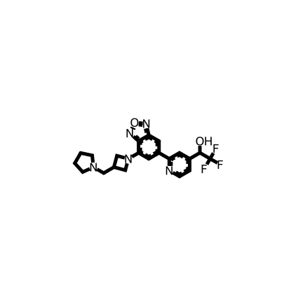 OC(c1ccnc(-c2cc(N3CC(CN4CCCC4)C3)c3nonc3c2)c1)C(F)(F)F